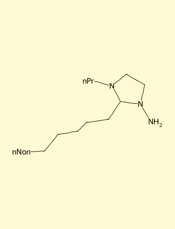 CCCCCCCCCCCCCCC1N(N)CCN1CCC